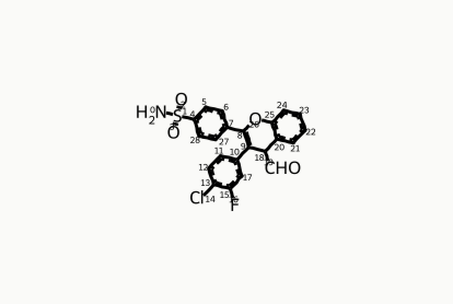 NS(=O)(=O)c1ccc(C2=C(c3ccc(Cl)c(F)c3)C(C=O)c3ccccc3O2)cc1